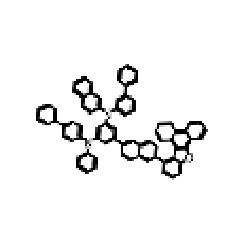 c1ccc(-c2ccc(N(c3ccccc3)c3cc(-c4ccc5cc(-c6cccc7oc8c9ccccc9c9ccccc9c8c67)ccc5c4)cc(N(c4cccc(-c5ccccc5)c4)c4ccc5ccccc5c4)c3)cc2)cc1